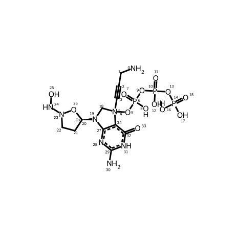 NCC#C[N+]1(OP(=O)(O)OP(=O)(O)OP(=O)(O)O)CN([C@H]2CCN(NO)O2)c2nc(N)[nH]c(=O)c21